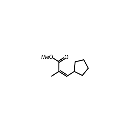 COC(=O)C(C)=CC1CCCC1